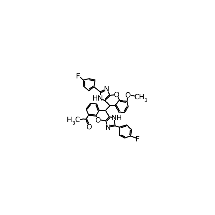 COc1cccc2c1Oc1nc(-c3ccc(F)cc3)[nH]c1C2C1c2cccc(C(C)=O)c2Oc2nc(-c3ccc(F)cc3)[nH]c21